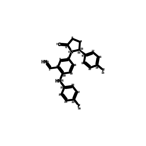 N=Cc1cc(N2C(=O)CC[C@H]2c2ccc(F)cc2)ccc1Nc1ccc(F)cc1